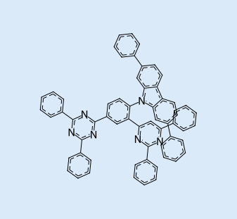 c1ccc(-c2ccc3c4ccc(-c5ccccc5)cc4n(-c4ccc(-c5nc(-c6ccccc6)nc(-c6ccccc6)n5)cc4-c4cc(-c5ccccc5)nc(-c5ccccc5)n4)c3c2)cc1